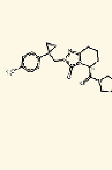 O=C([C@@H]1CCCc2nn(CC3(c4ccc(C(F)(F)F)cc4)CC3)c(=O)n21)N1CC[C@H](F)C1